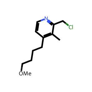 COCCCCc1ccnc(CCl)c1C